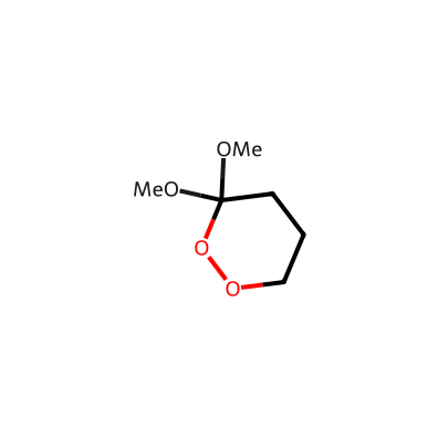 COC1(OC)CCCOO1